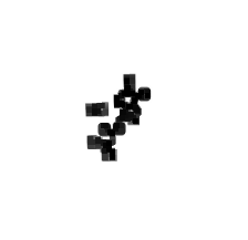 CCN(CC)CC(=O)OCn1ncc2c(=O)[nH]cnc21.Cl